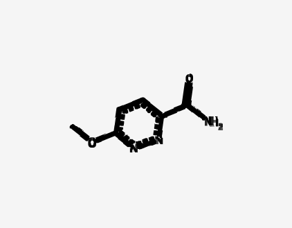 COc1ccc(C(N)=O)nn1